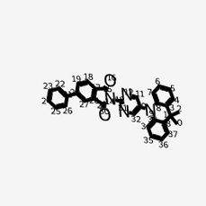 CC1(C)c2ccccc2N(c2cnc(N3C(=O)c4ccc(-c5ccccc5)cc4C3=O)nc2)c2ccccc21